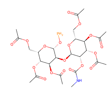 CNC(=O)O[C@@H]1[C@@H](O[C@@H]2[C@@H](OP)O[C@@H](COC(C)=O)[C@@H](OC(C)=O)[C@@H]2OC(C)=O)O[C@H](COC(C)=O)[C@@H](OC(C)=O)[C@@H]1OC(C)=O